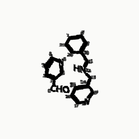 O=Cc1cccnc1.c1ccc(CNCc2cccnc2)cc1